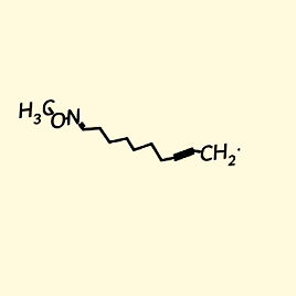 [CH2]C#CCCCCCCC=NOC